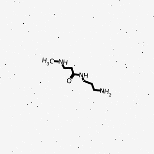 CNCCC(=O)NCCCN